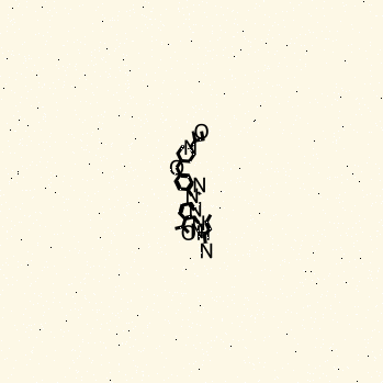 Cc1cc(C#N)nn1-c1nc(-n2cnc3cc(OC4CCN(C5COC5)CC4)ccc32)ccc1C(C)O